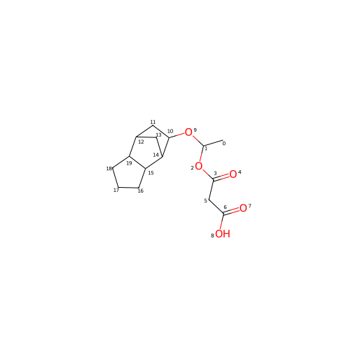 CC(OC(=O)CC(=O)O)OC1CC2CC1C1CCCC21